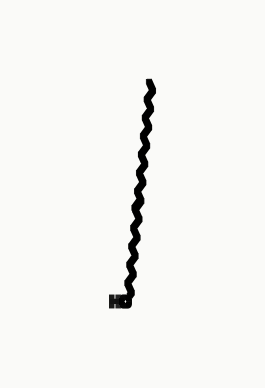 CCCCCCCCCCCCC/C=C/CCCCCCCCCO